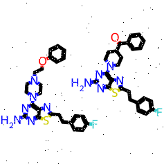 Nc1nc(N2CCC(C(=O)c3ccccc3)CC2)c2nc(CCc3ccc(F)cc3)sc2n1.Nc1nc(N2CCN(CCOc3ccccc3)CC2)c2nc(CCc3ccc(F)cc3)sc2n1